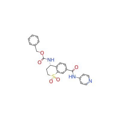 O=C(N[C@H]1CCS(=O)(=O)c2cc(C(=O)Nc3ccncc3)ccc21)OCc1ccccc1